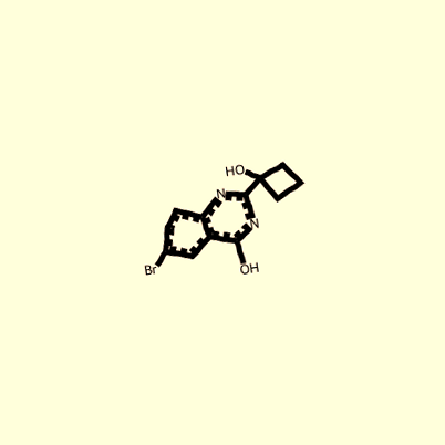 Oc1nc(C2(O)CCC2)nc2ccc(Br)cc12